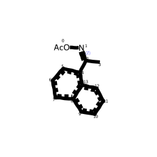 CC(=O)O/N=C(/C)c1cccc2ccccc12